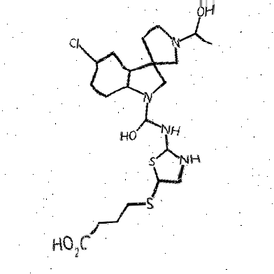 CC(O)N1CCC2(C1)CN(C(O)NC1NCC(SCCCC(=O)O)S1)C1CCC(Cl)CC12